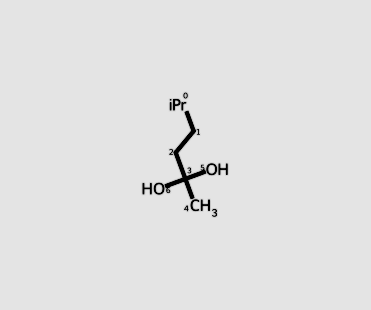 CC(C)CCC(C)(O)O